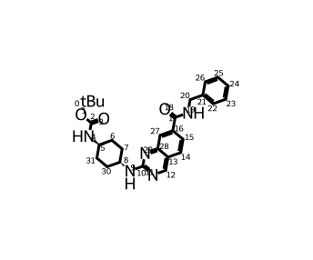 CC(C)(C)OC(=O)N[C@H]1CC[C@H](Nc2ncc3ccc(C(=O)NCc4ccccc4)cc3n2)CC1